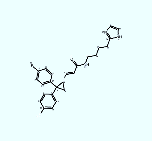 O=C(/C=C/[C@@H]1CC1(c1ccc(F)cc1)c1ccc(F)cc1)NCCCCc1ncc[nH]1